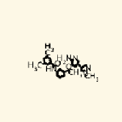 Cc1cc(C)cc(C(=O)Nc2cccc([C@@H](C)Oc3cc(-c4cnn(C)c4)cnc3N)c2)c1